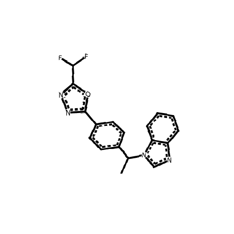 CC(c1ccc(-c2nnc(C(F)F)o2)cc1)n1cnc2ccccc21